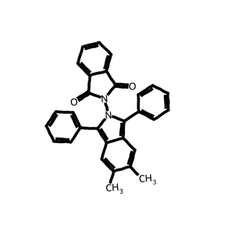 Cc1cc2c(-c3ccccc3)n(N3C(=O)c4ccccc4C3=O)c(-c3ccccc3)c2cc1C